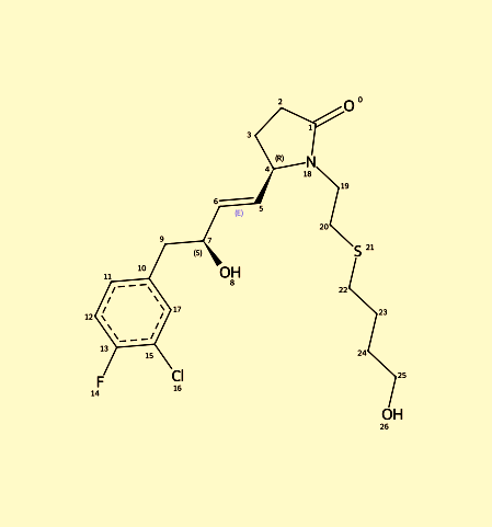 O=C1CC[C@H](/C=C/[C@@H](O)Cc2ccc(F)c(Cl)c2)N1CCSCCCCO